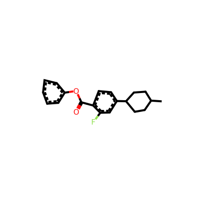 CC1CCC(c2ccc(C(=O)Oc3ccccc3)c(F)c2)CC1